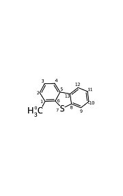 Cc1cccc2c1sc1c[c]ccc12